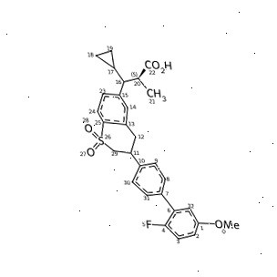 COc1ccc(F)c(-c2ccc(C3Cc4cc(C(C5CC5)[C@H](C)C(=O)O)ccc4S(=O)(=O)C3)cc2)c1